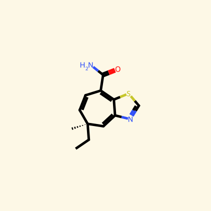 CC[C@@]1(C)C=CC(C(N)=O)=c2scnc2=C1